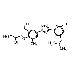 CCc1cc(-c2noc(-c3cc(CC(C)C)cc(C)n3)n2)cc(C)c1OC[C@@H](O)CO